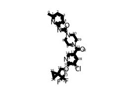 Cc1ccc2oc(N3CCN(C(=O)c4cnc(OCC5(C(F)(F)F)CC5)c(Cl)c4)CC3)nc2n1